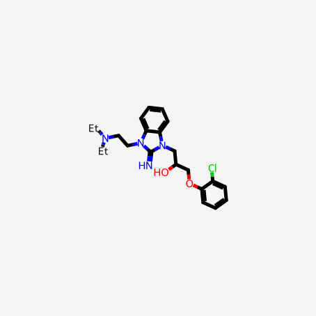 CCN(CC)CCn1c(=N)n(CC(O)COc2ccccc2Cl)c2ccccc21